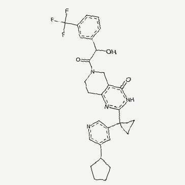 O=C(C(O)c1cccc(C(F)(F)F)c1)N1CCc2nc(C3(c4cncc(C5CCCC5)c4)CC3)[nH]c(=O)c2C1